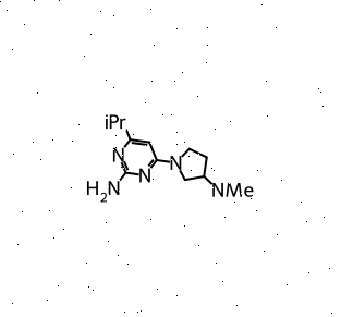 CNC1CCN(c2cc(C(C)C)nc(N)n2)C1